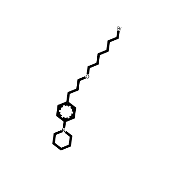 BrCCCCCCOCCCc1ccc(N2CCCCC2)cc1